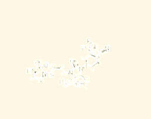 CC1(C)C(=O)N(c2ccc(C#N)c(C(F)(F)F)c2)C(=O)N1C/C=C\CN1CCNS1(=O)=O